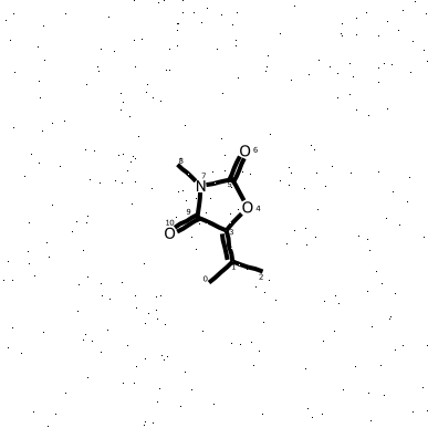 CC(C)=C1OC(=O)N(C)C1=O